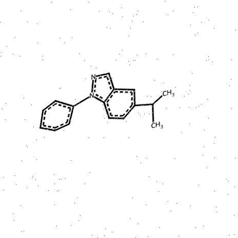 CC(C)c1ccc2c(cnn2-c2ccccc2)c1